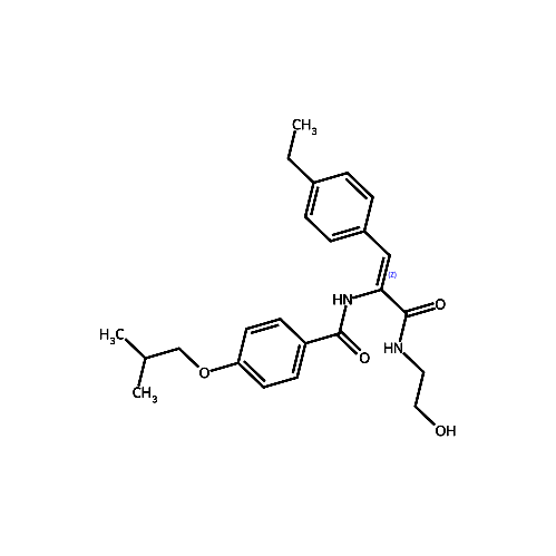 CCc1ccc(/C=C(\NC(=O)c2ccc(OCC(C)C)cc2)C(=O)NCCO)cc1